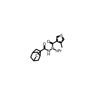 CCCN(NC(=O)C12CC3CC(CC1C3)C2)C(=O)c1cscc1C